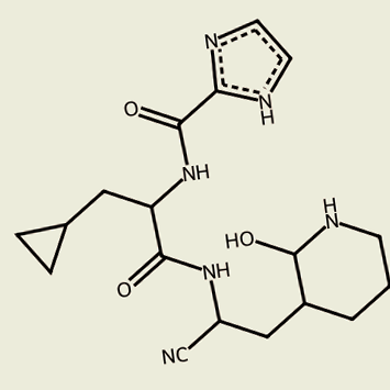 N#CC(CC1CCCNC1O)NC(=O)C(CC1CC1)NC(=O)c1ncc[nH]1